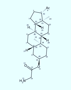 CC(=O)[C@H]1CC[C@H]2[C@@H]3CC[C@H]4C[C@H](OC(=O)CN)CC[C@]4(C)[C@H]3CC[C@]12C